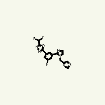 Fc1cc(-c2nnc(C(F)F)o2)cc(-c2nccn2Cc2cscn2)c1